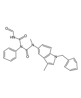 Cc1cn(Cc2ccccc2)c2ccc(N(C)C(=O)N(C(=O)NC=O)c3ccccc3)cc12